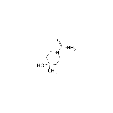 CC1(O)CCN(C(N)=O)CC1